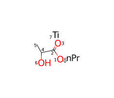 CCCOC(=O)C(C)O.[Ti]